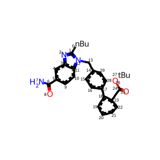 CCCCc1nc2cc(C(N)=O)ccc2n1Cc1ccc(-c2ccccc2C(=O)OC(C)(C)C)cc1